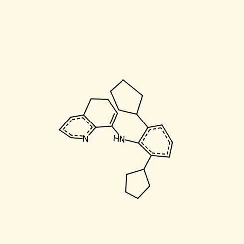 C1=C(Nc2c(C3CCCC3)cccc2C2CCCC2)c2ncccc2CC1